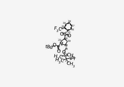 CC(C)C(C)(C)[Si](C)(C)OC[C@H]1C[C@H](S(=O)(=O)c2ccccc2C(F)(F)F)CN1C(=O)OC(C)(C)C